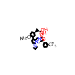 COc1ccc([C@@H]2C[C@H]2C(O)O)cc1-c1ccc(N2CCC2)nc1CN1C(=O)O[C@H](c2cccc(C(F)(F)F)c2)[C@@H]1C